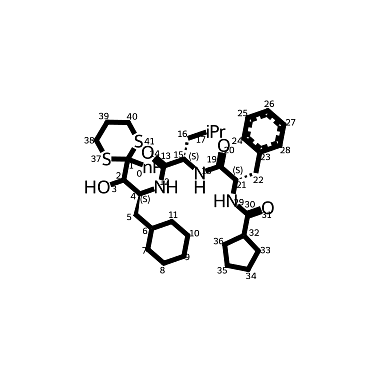 CCCC1(C(O)[C@H](CC2CCCCC2)NC(=O)[C@H](CC(C)C)NC(=O)[C@H](Cc2ccccc2)NC(=O)C2CCCC2)SCCCS1